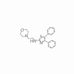 c1ccc(-c2nc(NCCN3CCOCC3)sc2-c2ccccc2)cc1